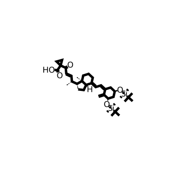 C=C1/C(=C\C=C2/CCC[C@]3(C)[C@@H]([C@H](C)/C=C/C(=O)C4(C(=O)O)CC4)CC[C@@H]23)C[C@@H](O[Si](C)(C)C(C)(C)C)C[C@@H]1O[Si](C)(C)C(C)(C)C